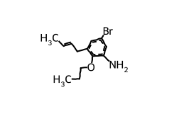 CC=CCc1cc(Br)cc(N)c1OCCC